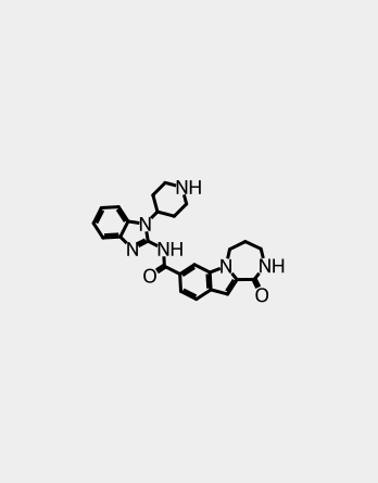 O=C(Nc1nc2ccccc2n1C1CCNCC1)c1ccc2cc3n(c2c1)CCCNC3=O